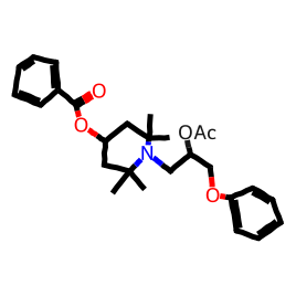 CC(=O)OC(COc1ccccc1)CN1C(C)(C)CC(OC(=O)c2ccccc2)CC1(C)C